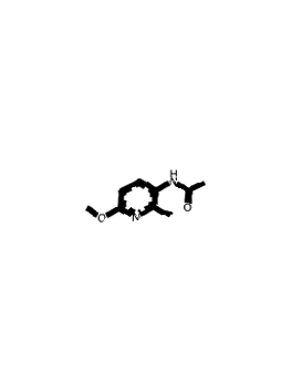 COc1ccc(NC(C)=O)c(C)n1